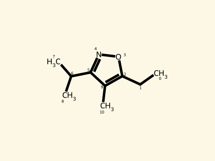 CCc1onc(C(C)C)c1C